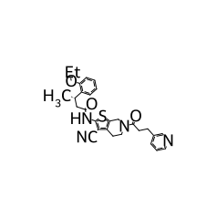 CCOc1ccccc1[C@@H](C)CC(=O)Nc1sc2c(c1C#N)CCN(C(=O)CCc1cccnc1)C2